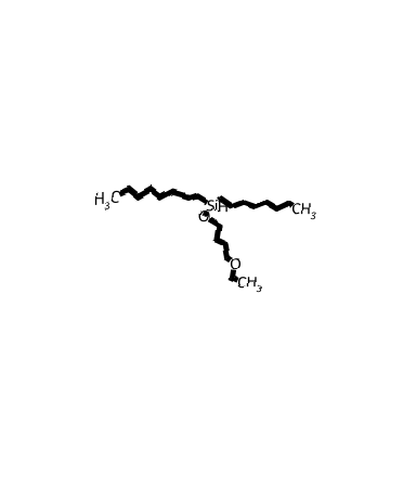 CCCCCCCC[SiH](CCCCCCCC)OCCCCOCC